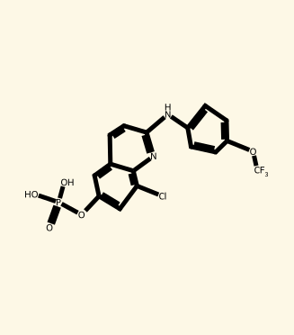 O=P(O)(O)Oc1cc(Cl)c2nc(Nc3ccc(OC(F)(F)F)cc3)ccc2c1